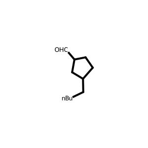 CCCCCC1CCC(C=O)C1